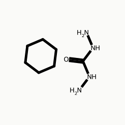 C1CCCCC1.NNC(=O)NN